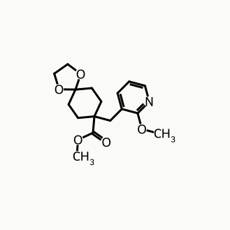 COC(=O)C1(Cc2cccnc2OC)CCC2(CC1)OCCO2